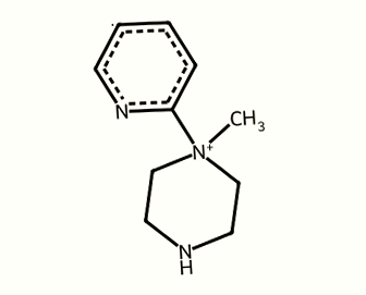 C[N+]1(c2cc[c]cn2)CCNCC1